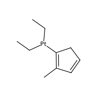 C[CH2][Pt]([CH2]C)[C]1=C(C)C=CC1